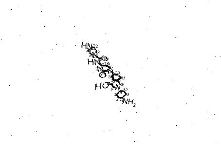 N[C@H]1CC[C@H](N(CCO)Cc2ccc(-n3ccc(NC(=O)N4CCNCC4)nc3=O)cc2)CC1